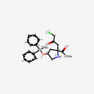 COC(=O)C1(CC(=O)CCl)CC(O[Si](c2ccccc2)(c2ccccc2)C(C)(C)C)CN1